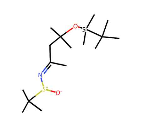 C/C(CC(C)(C)O[Si](C)(C)C(C)(C)C)=N\[S+]([O-])C(C)(C)C